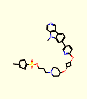 Cc1ccc(S(=O)(=O)OCCCN2CCC(O[C@H]3C[C@H](Oc4ccc(-c5ccc6c7cnccc7n(C)c6c5)cn4)C3)CC2)cc1